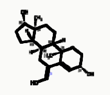 C[C@]12CC[C@H]3[C@@H](C/C(=C\O)C4=C[C@@H](O)CC[C@@]43C)[C@@H]1CC[C@@H]2O